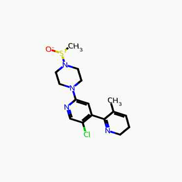 CC1=CCCN=C1c1cc(N2CCN([S+](C)[O-])CC2)ncc1Cl